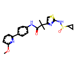 COc1cccc(-c2ccc(NC(=O)C(C)(C)c3csc(N[S+]([O-])C4CC4)n3)cc2)n1